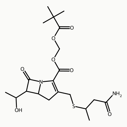 CC(CC(N)=O)SCC1=C(C(=O)OCOC(=O)C(C)(C)C)N2C(=O)C(C(C)O)C2C1